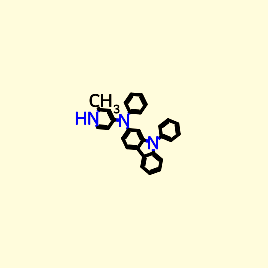 CC1C=C(N(c2ccccc2)c2ccc3c4ccccc4n(-c4ccccc4)c3c2)C=CN1